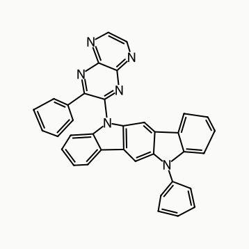 c1ccc(-c2nc3nccnc3nc2-n2c3ccccc3c3cc4c(cc32)c2ccccc2n4-c2ccccc2)cc1